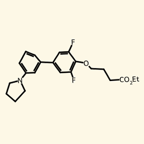 CCOC(=O)CCCOc1c(F)cc(-c2cccc(N3CCCC3)c2)cc1F